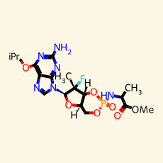 COC(=O)C(C)NP1(=O)OC[C@H]2O[C@@H](n3cnc4c(OC(C)C)nc(N)nc43)[C@](C)(F)[C@@H]2O1